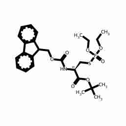 CCOP(=O)(OCC)SC[C@H](NC(=O)OCC1c2ccccc2-c2ccccc21)C(=O)OC(C)(C)C